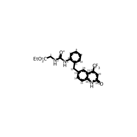 CCOC(=O)CNC(=O)Nc1ccccc1Cc1ccc2[nH]c(=O)cc(C(F)(F)F)c2c1